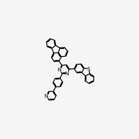 c1cncc(-c2ccc(-c3nc(-c4ccc5sc6ccccc6c5c4)cc(-c4ccc5c6c(cccc46)-c4ccccc4-5)n3)cc2)c1